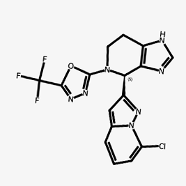 FC(F)(F)c1nnc(N2CCc3[nH]cnc3[C@H]2c2cc3cccc(Cl)n3n2)o1